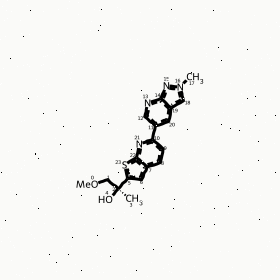 COC[C@](C)(O)c1cc2ccc(-c3cnc4nn(C)cc4c3)nc2s1